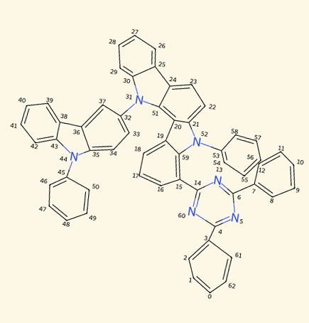 c1ccc(-c2nc(-c3ccccc3)nc(-c3cccc4c5c(ccc6c7ccccc7n(-c7ccc8c(c7)c7ccccc7n8-c7ccccc7)c65)n(-c5ccccc5)c34)n2)cc1